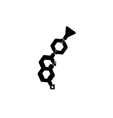 Clc1ccc2ccc(N3CCN(C4CC4)CC3)nc2c1